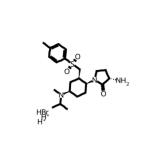 Br.Cc1ccc(S(=O)(=O)C[C@@H]2C[C@H](N(C)C(C)C)CC[C@@H]2N2CC[C@H](N)C2=O)cc1.[H+].[H+]